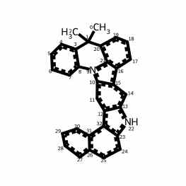 CC1(C)c2ccccc2-n2c3cc4c(cc3c3cccc1c32)[nH]c1ccc2ccccc2c14